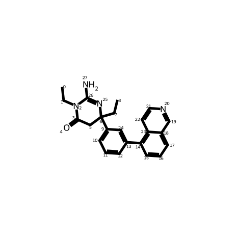 CCN1C(=O)CC(CC)(c2cccc(-c3cccc4cnccc34)c2)N=C1N